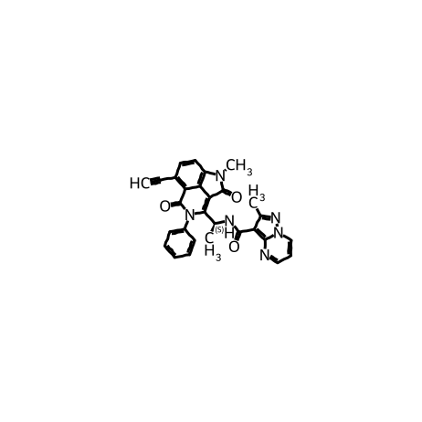 C#Cc1ccc2c3c(c([C@H](C)NC(=O)c4c(C)nn5cccnc45)n(-c4ccccc4)c(=O)c13)C(=O)N2C